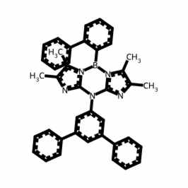 Cc1nc2n(c1C)B(c1ccccc1-c1ccccc1)n1c(nc(C)c1C)N2c1cc(-c2ccccc2)cc(-c2ccccc2)c1